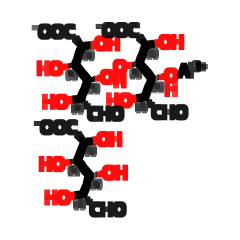 O=C[C@H](O)[C@@H](O)[C@H](O)[C@H](O)C(=O)[O-].O=C[C@H](O)[C@@H](O)[C@H](O)[C@H](O)C(=O)[O-].O=C[C@H](O)[C@@H](O)[C@H](O)[C@H](O)C(=O)[O-].[Al+3]